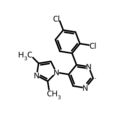 Cc1cn(-c2cn[c]nc2-c2ccc(Cl)cc2Cl)c(C)n1